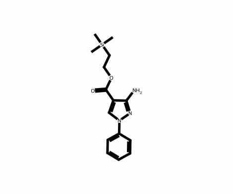 C[Si](C)(C)CCOC(=O)c1cn(-c2ccccc2)nc1N